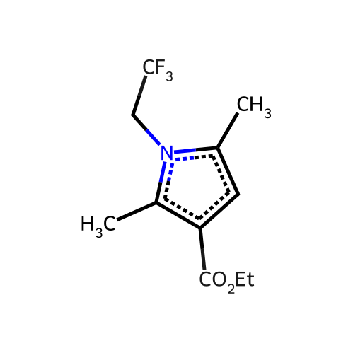 CCOC(=O)c1cc(C)n(CC(F)(F)F)c1C